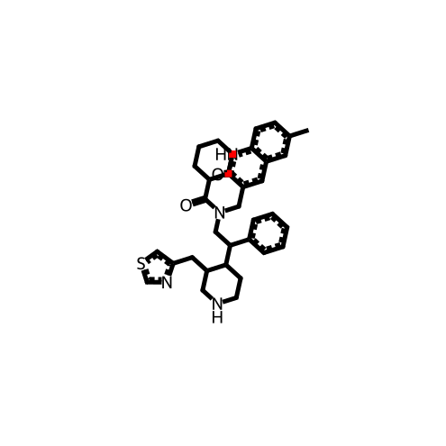 Cc1ccc2[nH]c(=O)c(CN(CC(c3ccccc3)C3CCNCC3Cc3cscn3)C(=O)C3CCCCC3)cc2c1